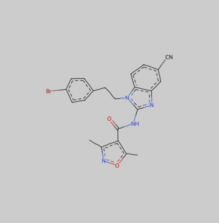 Cc1noc(C)c1C(=O)Nc1nc2cc(C#N)ccc2n1CCc1ccc(Br)cc1